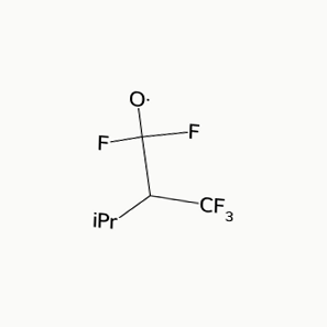 CC(C)C(C([O])(F)F)C(F)(F)F